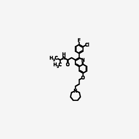 CC(C)NC(=O)Cc1cc2cc(OCCCN3CCCCCC3)ccc2nc1-c1ccc(F)c(Cl)c1